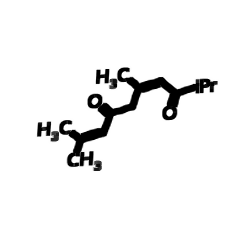 CC(C)=CC(=O)CC(C)=CC(=O)C(C)C